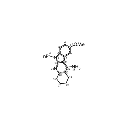 [CH2]CCn1c2ccc(OC)cc2c2c(N)c3c(nc21)CCCC3